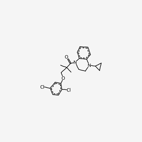 CC(C)(COc1cc(Cl)ccc1Cl)C(=O)N1CCN(C2CC2)c2ccccc21